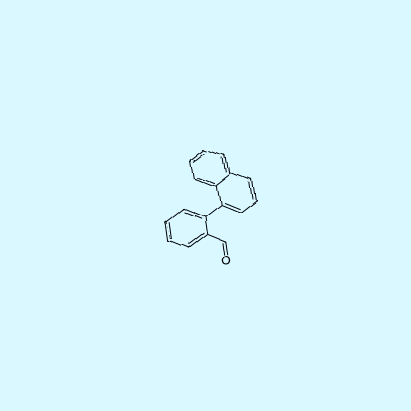 O=Cc1ccccc1-c1cccc2ccccc12